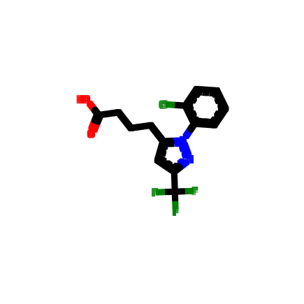 O=C(O)CCCc1cc(C(F)(F)F)nn1-c1ccccc1Cl